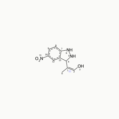 C/C(=C/O)C1NNc2ccc([N+](=O)[O-])cc21